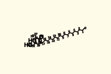 CCCCCCCCCCCCCCCCCCN(CC(O)CO)C(=O)CCC